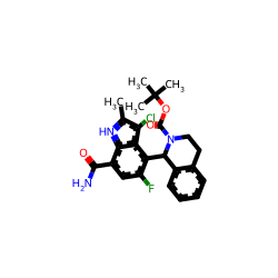 Cc1[nH]c2c(C(N)=O)cc(F)c(C3c4ccccc4CCN3C(=O)OC(C)(C)C)c2c1Cl